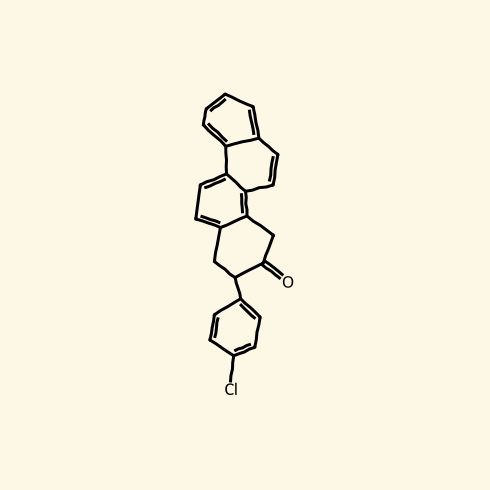 O=C1Cc2c(ccc3c2ccc2ccccc23)CC1c1ccc(Cl)cc1